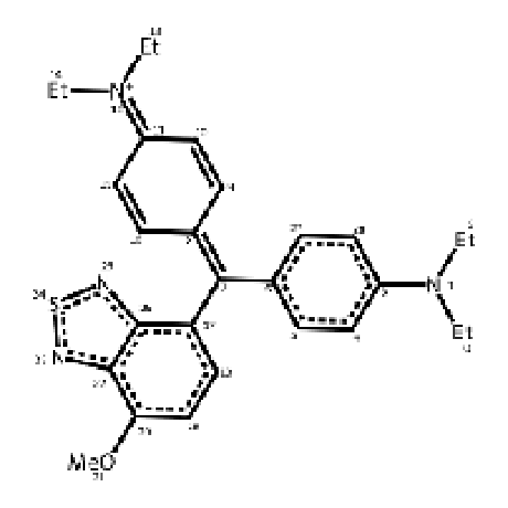 CCN(CC)c1ccc(C(=C2C=CC(=[N+](CC)CC)C=C2)c2ccc(OC)c3nsnc23)cc1